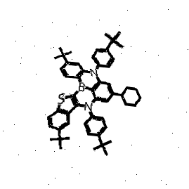 CC(C)(C)c1ccc(N2c3cc(C(C)(C)C)ccc3B3c4sc5ccc(C(C)(C)C)cc5c4N(c4ccc(C(C)(C)C)cc4)c4cc(C5CCCCC5)cc2c43)cc1